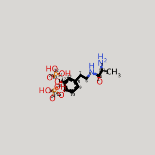 C[C@H](N)C(=O)NCCc1ccc(OP(=O)(O)O)c(OP(=O)(O)O)c1